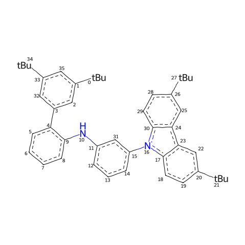 CC(C)(C)c1cc(-c2ccccc2Nc2cccc(-n3c4ccc(C(C)(C)C)cc4c4cc(C(C)(C)C)ccc43)c2)cc(C(C)(C)C)c1